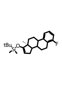 CC(C)(C)[Si](C)(C)OC1=CCC2C3CCc4c(F)cccc4C3CC[C@]12C